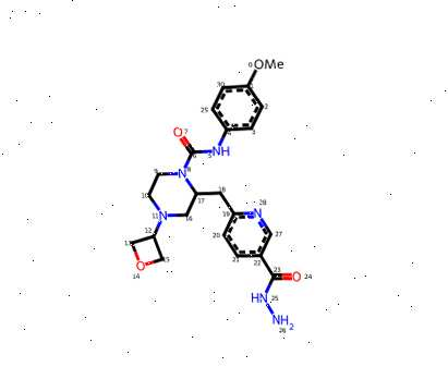 COc1ccc(NC(=O)N2CCN(C3COC3)CC2Cc2ccc(C(=O)NN)cn2)cc1